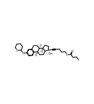 CCCC(=O)OCCCC#C[C@]1(O)CC[C@H]2[C@@H]3CCc4cc(OC5CCCCO5)ccc4[C@H]3CC[C@@]21C